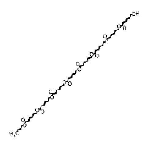 CCCCOC(=O)CCCCCOC(=O)CCCCCOC(=O)CCCCCOC(=O)CCCCCOC(=O)CCCCCOC(=O)CCCCCOC(=O)CCCCCOC(=O)CCCCCO